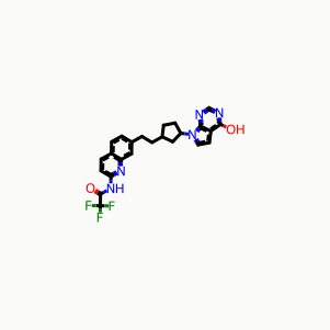 O=C(Nc1ccc2ccc(CCC3CCC(n4ccc5c(O)ncnc54)C3)cc2n1)C(F)(F)F